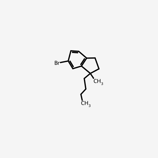 CCCCC1(C)CCc2ccc(Br)cc21